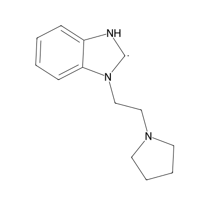 [CH]1Nc2ccccc2N1CCN1CCCC1